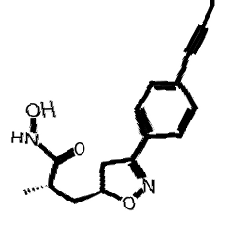 CC#Cc1ccc(C2=NO[C@@H](C[C@H](C)C(=O)NO)C2)cc1